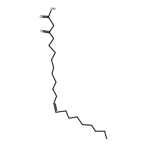 CCCCCCCC/C=C\CCCCCCCCCC(=O)CC(=O)O